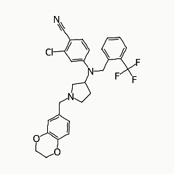 N#Cc1ccc(N(Cc2ccccc2C(F)(F)F)C2CCN(Cc3ccc4c(c3)OCCO4)C2)cc1Cl